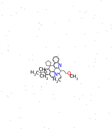 C=CC1C(CCOC)c2nc3ccccc3c3c2-c2c4c(cc(C(C)(C)C)cc4cc[n+]21)C31CCCC1